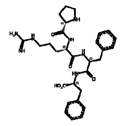 N=C(N)NCCC[C@H](NC(=O)[C@@H]1CCCN1)C(=O)N[C@@H](Cc1ccccc1)C(=O)N[C@@H](Cc1ccccc1)C(=O)O